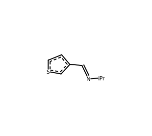 CC(C)/N=C/c1ccsc1